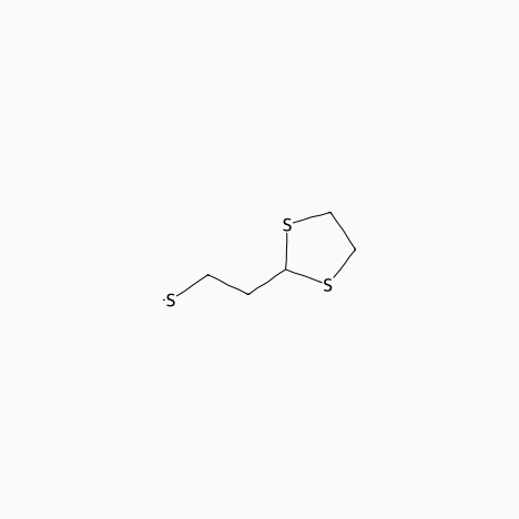 [S]CCC1SCCS1